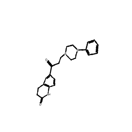 O=C1CCc2cc(C(=O)CCN3CCN(c4ccccc4)CC3)ccc2N1